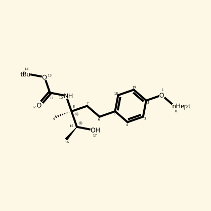 CCCCCCCOc1ccc(CC[C@](C)(NC(=O)OC(C)(C)C)[C@H](C)O)cc1